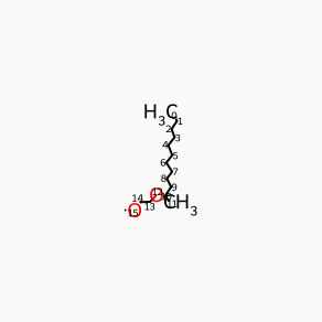 CCCCCCCCCCC(C)OCC[O]